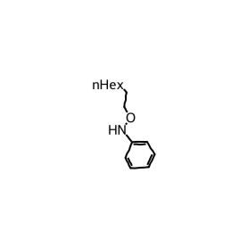 CCCCCCCCONc1ccccc1